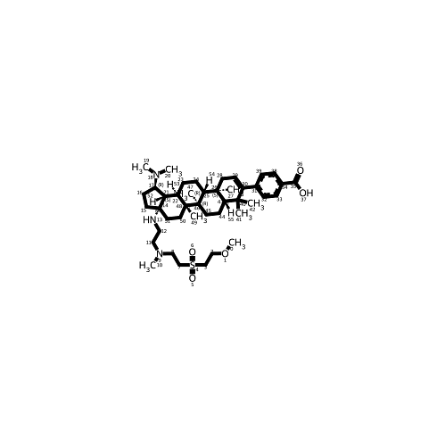 COCCS(=O)(=O)CCN(C)CCN[C@]12CC[C@@H](N(C)C)[C@@H]1[C@H]1CC[C@@H]3[C@@]4(C)CC=C(c5ccc(C(=O)O)cc5)C(C)(C)[C@@H]4CC[C@@]3(C)[C@]1(C)CC2